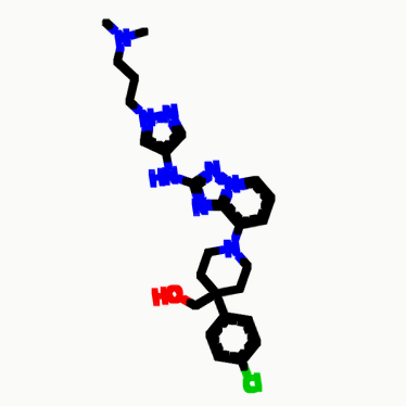 CN(C)CCCn1cc(Nc2nc3c(N4CCC(CO)(c5ccc(Cl)cc5)CC4)cccn3n2)cn1